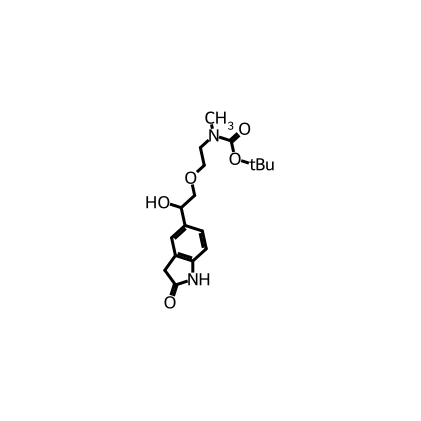 CN(CCOCC(O)c1ccc2c(c1)CC(=O)N2)C(=O)OC(C)(C)C